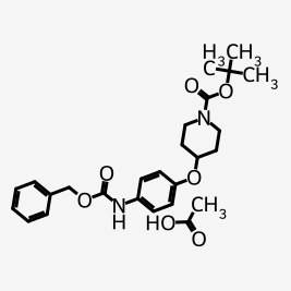 CC(=O)O.CC(C)(C)OC(=O)N1CCC(Oc2ccc(NC(=O)OCc3ccccc3)cc2)CC1